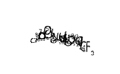 O=C(N[C@H]1COc2ccc(Cl)cc2C1)c1cc2n(n1)CCC(OCC(F)(F)F)CO2